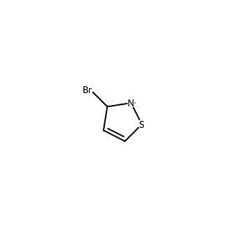 BrC1C=CS[N]1